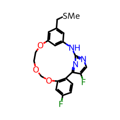 CSCc1cc2cc(c1)OCCOCOc1cc(F)ccc1-c1nc(ncc1F)N2